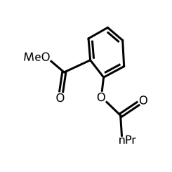 [CH2]OC(=O)c1ccccc1OC(=O)CCC